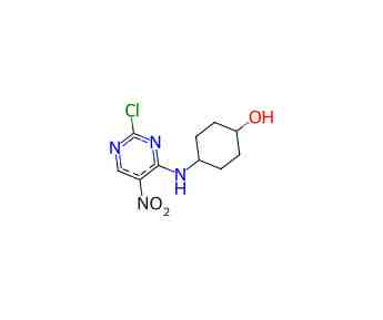 O=[N+]([O-])c1cnc(Cl)nc1NC1CCC(O)CC1